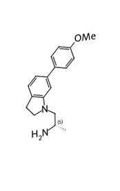 COc1ccc(-c2ccc3c(c2)N(C[C@H](C)N)CC3)cc1